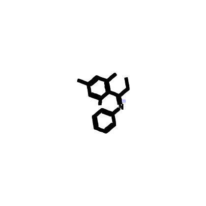 CC/C(=N/c1ccccc1)c1c(C)cc(C)cc1C